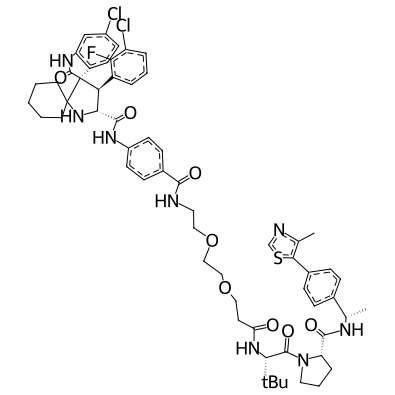 Cc1ncsc1-c1ccc([C@H](C)NC(=O)[C@@H]2CCCN2C(=O)[C@@H](NC(=O)CCOCCOCCNC(=O)c2ccc(NC(=O)[C@@H]3NC4(CCCCC4)[C@@]4(C(=O)Nc5cc(Cl)ccc54)[C@H]3c3cccc(Cl)c3F)cc2)C(C)(C)C)cc1